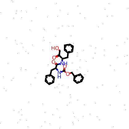 O=C(NC(Cc1ccccc1)C(=O)NC(Cc1ccccc1)C(=O)CO)OCc1ccccc1